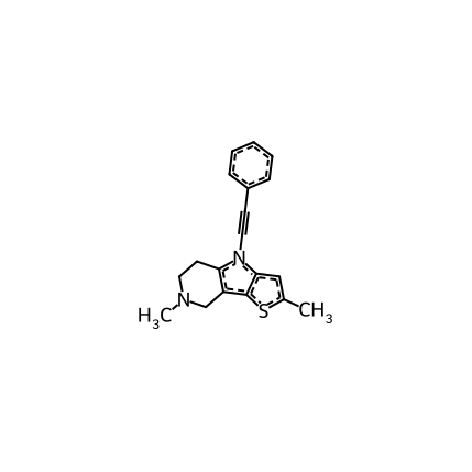 Cc1cc2c(s1)c1c(n2C#Cc2ccccc2)CCN(C)C1